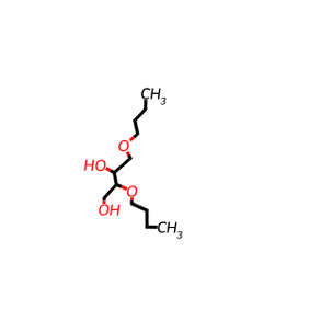 CCCCOCC(O)C(CO)OCCCC